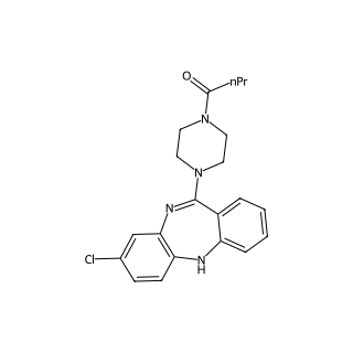 CCCC(=O)N1CCN(C2=Nc3cc(Cl)ccc3Nc3ccccc32)CC1